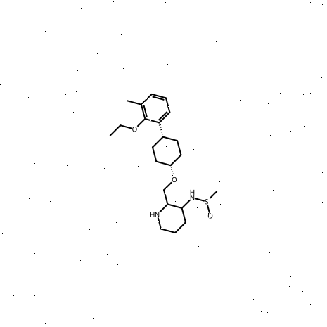 CCOc1c(C)cccc1[C@H]1CC[C@@H](OCC2NCCCC2N[S+](C)[O-])CC1